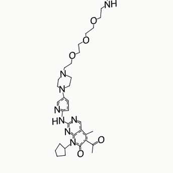 CC(=O)c1c(C)c2cnc(Nc3ccc(N4CCN(CCOCCOCCOCCNC(=O)O)CC4)cn3)nc2n(C2CCCC2)c1=O